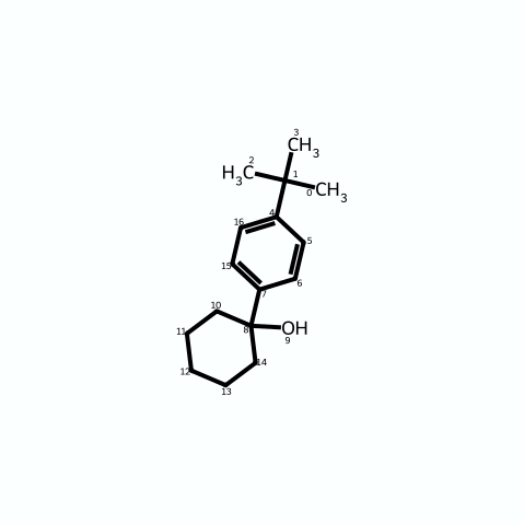 CC(C)(C)c1ccc(C2(O)CCCCC2)cc1